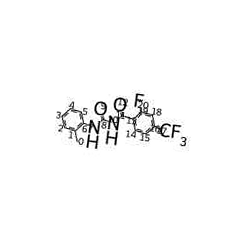 Cc1ccccc1NC(=O)NC(=O)c1ccc(C(F)(F)F)cc1F